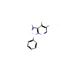 Cc1nn(-c2ccccc2)c2ncc(C(=O)O)c(O)c12